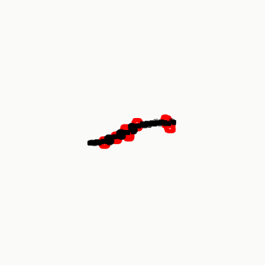 C=CC(=O)OCCCCCCCCCCCOc1ccc(C(=O)Oc2ccc(OCc3ccc(OCCCCCC)cc3)cc2)cc1